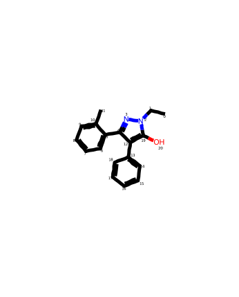 CCn1nc(-c2ccccc2C)c(-c2ccccc2)c1O